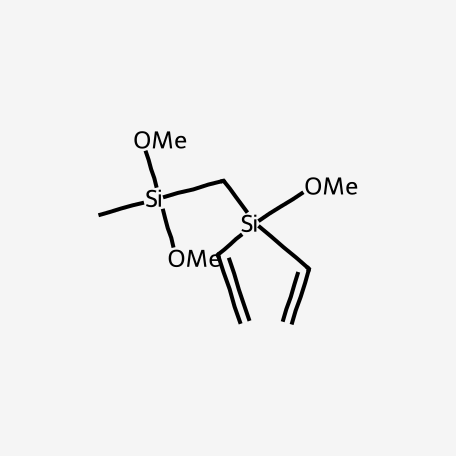 C=C[Si](C=C)(C[Si](C)(OC)OC)OC